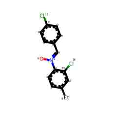 CCc1ccc([N+]([O-])=Cc2ccc(Cl)cc2)c(Cl)c1